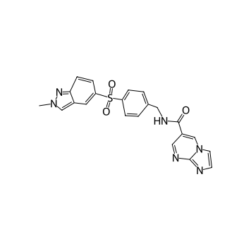 Cn1cc2cc(S(=O)(=O)c3ccc(CNC(=O)c4cnc5nccn5c4)cc3)ccc2n1